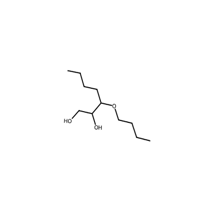 CCCCOC(CCCC)C(O)CO